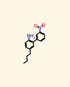 CCCCc1ccc(N)c(-c2cccc([N+](=O)[O-])c2)c1